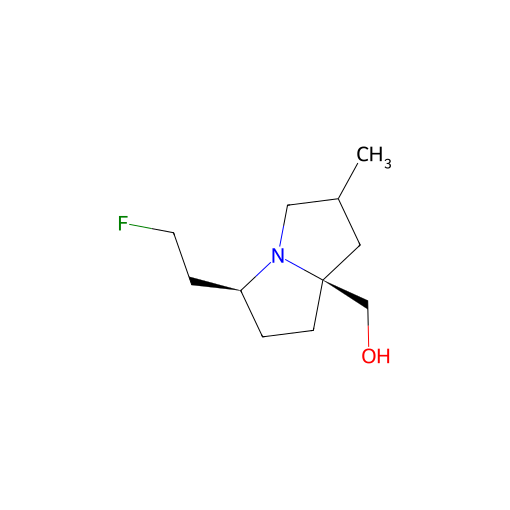 CC1CN2[C@H](CCF)CC[C@@]2(CO)C1